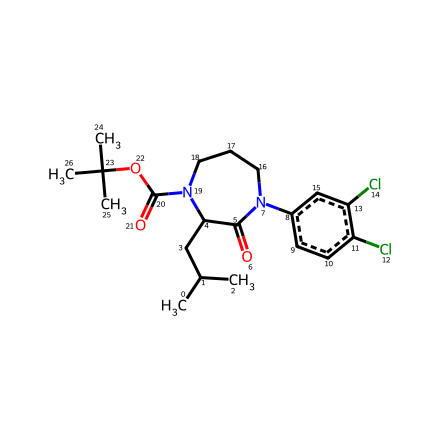 CC(C)CC1C(=O)N(c2ccc(Cl)c(Cl)c2)CCCN1C(=O)OC(C)(C)C